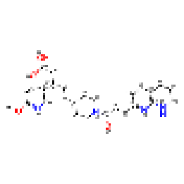 COc1ccc([C@@H](CCC2CCN(C(=O)CCc3ccc4c(n3)NCCC4)CC2)CC(=O)O)cn1